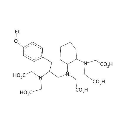 CCOc1ccc(CC(CN(CC(=O)O)C2CCCCC2N(CC(=O)O)CC(=O)O)N(CC(=O)O)CC(=O)O)cc1